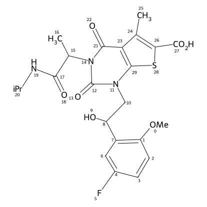 COc1ccc(F)cc1C(O)Cn1c(=O)n(C(C)C(=O)NC(C)C)c(=O)c2c(C)c(C(=O)O)sc21